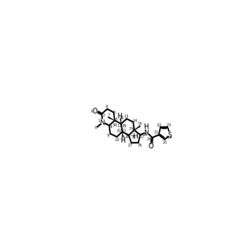 CN1C(=O)CC[C@@]2(C)C1CC[C@@H]1[C@H]2CC[C@]2(C)C(NC(=O)c3ccsc3)CC[C@@H]12